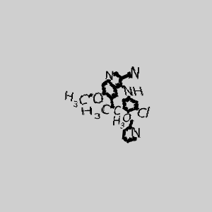 CCOc1cc2ncc(C#N)c(Nc3ccc(OCc4ccccn4)c(Cl)c3)c2cc1C(C)C